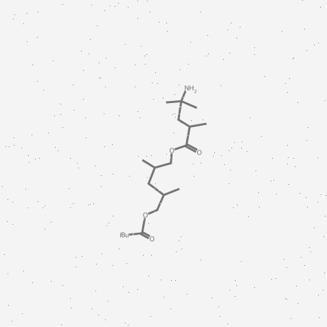 CCC(C)C(=O)OCC(C)CC(C)COC(=O)C(C)CC(C)(C)N